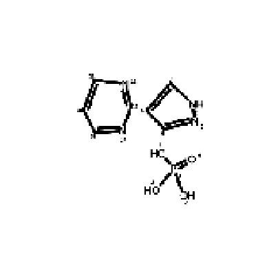 O=P(O)(O)O.c1cn[nH]c1.c1cncnc1